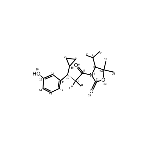 CC(C)C1N(C(=O)C(C)(F)[C@H](c2cccc(O)c2)C2CC2)C(=O)OC1(C)C